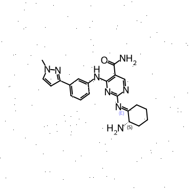 Cn1ccc(-c2cccc(Nc3nc(/N=C4\CCCC[C@@H]4N)ncc3C(N)=O)c2)n1